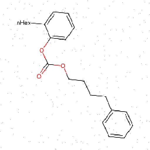 CCCCCCc1ccccc1OC(=O)OCCCCc1ccccc1